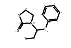 CCC(Sc1ccccc1)N1CCSC1=S